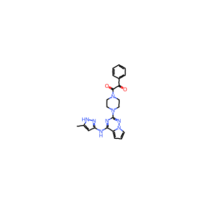 Cc1cc(Nc2nc(N3CCN(C(=O)C(=O)c4ccccc4)CC3)nn3cccc23)n[nH]1